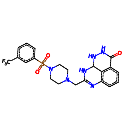 O=C1NNC2NC(CN3CCN(S(=O)(=O)c4cccc(C(F)(F)F)c4)CC3)=Nc3cccc1c32